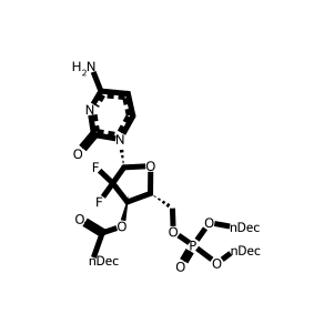 CCCCCCCCCCOP(=O)(OCCCCCCCCCC)OC[C@H]1O[C@@H](n2ccc(N)nc2=O)C(F)(F)[C@@H]1OC(=O)CCCCCCCCCC